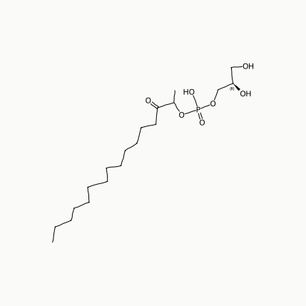 CCCCCCCCCCCCCC(=O)C(C)OP(=O)(O)OC[C@H](O)CO